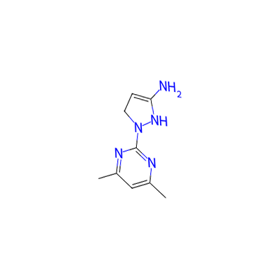 Cc1cc(C)nc(N2CC=C(N)N2)n1